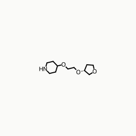 C1CC(OCCO[C@@H]2CCOC2)CCN1